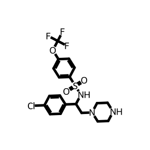 O=S(=O)(NC(CN1CCNCC1)c1ccc(Cl)cc1)c1ccc(OC(F)(F)F)cc1